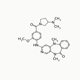 COc1cc(C(=O)N2CCC(N(C)C)C2)ccc1Nc1cc2c(cn1)N(C)C(=O)c1ccccc1N2C